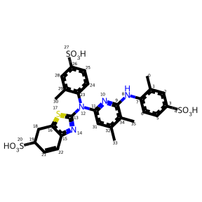 Cc1cc(S(=O)(=O)O)ccc1Nc1nc(N(c2nc3c(s2)CC(S(=O)(=O)O)C=C3)c2ccc(S(=O)(=O)O)cc2C)cc(C)c1C